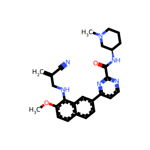 C=C(C#N)CNc1c(OC)ccc2ccc(-c3ccnc(C(=O)N[C@@H]4CCCN(C)C4)n3)cc12